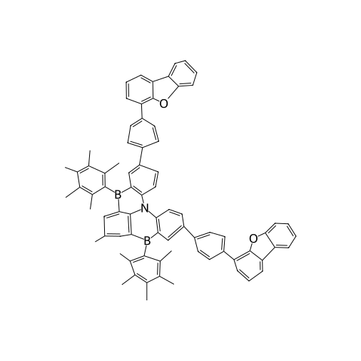 Cc1cc2c3c(c1)B(c1c(C)c(C)c(C)c(C)c1C)c1cc(-c4ccc(-c5cccc6c5oc5ccccc56)cc4)ccc1N3c1ccc(-c3ccc(-c4cccc5c4oc4ccccc45)cc3)cc1B2c1c(C)c(C)c(C)c(C)c1C